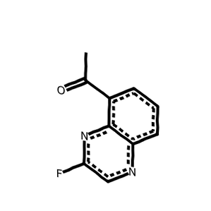 CC(=O)c1cccc2ncc(F)nc12